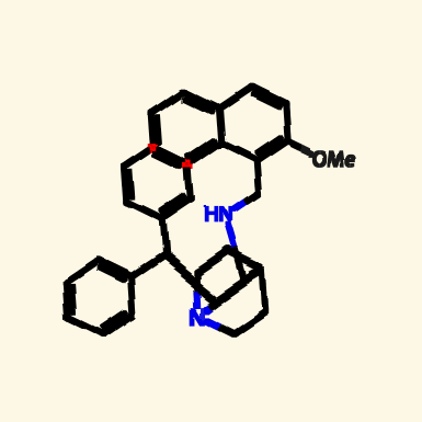 COc1ccc2ccccc2c1CNC1C2CCN(CC2)C1C(c1ccccc1)c1ccccc1